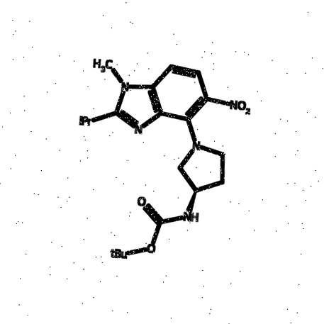 CC(C)c1nc2c(N3CC[C@@H](NC(=O)OC(C)(C)C)C3)c([N+](=O)[O-])ccc2n1C